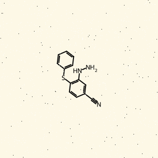 N#Cc1ccc(Sc2ccccc2)c(NN)c1